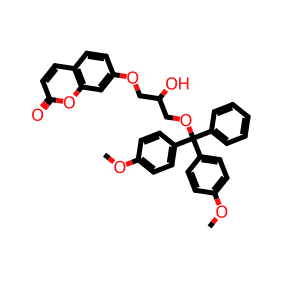 COc1ccc(C(OCC(O)COc2ccc3ccc(=O)oc3c2)(c2ccccc2)c2ccc(OC)cc2)cc1